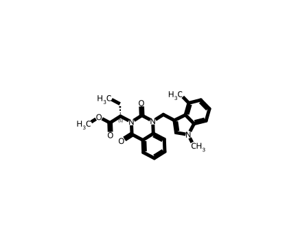 CC[C@@H](C(=O)OC)n1c(=O)c2ccccc2n(Cc2cn(C)c3cccc(C)c23)c1=O